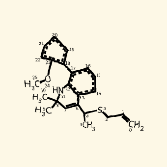 C=CCSC(C)C1=CC(C)(C)Nc2c1cccc2-c1ccccc1OC